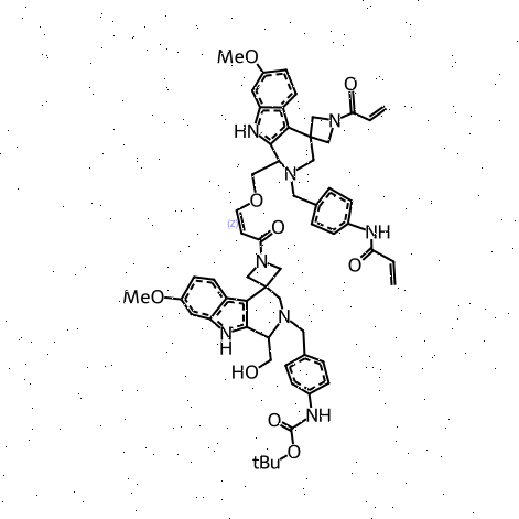 C=CC(=O)Nc1ccc(CN2CC3(CN(C(=O)C=C)C3)c3c([nH]c4cc(OC)ccc34)C2CO/C=C\C(=O)N2CC3(C2)CN(Cc2ccc(NC(=O)OC(C)(C)C)cc2)C(CO)c2[nH]c4cc(OC)ccc4c23)cc1